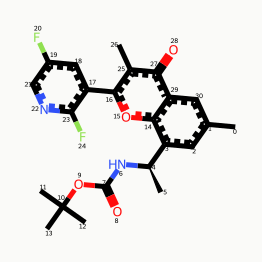 Cc1cc([C@@H](C)NC(=O)OC(C)(C)C)c2oc(-c3cc(F)cnc3F)c(C)c(=O)c2c1